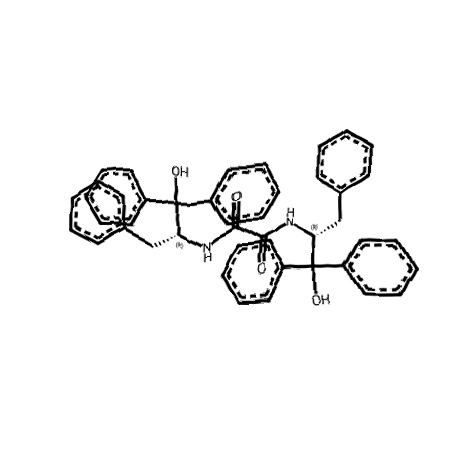 O=C(N[C@H](Cc1ccccc1)C(O)(c1ccccc1)c1ccccc1)C(=O)N[C@H](Cc1ccccc1)C(O)(c1ccccc1)c1ccccc1